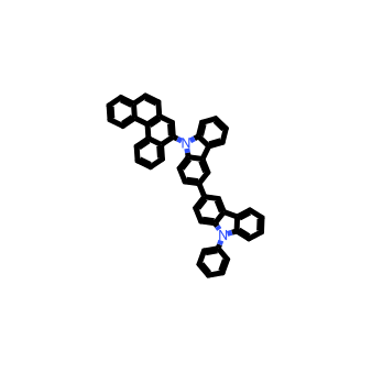 c1ccc(-n2c3ccccc3c3cc(-c4ccc5c(c4)c4ccccc4n5-c4cc5ccc6ccccc6c5c5ccccc45)ccc32)cc1